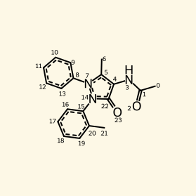 CC(=O)Nc1c(C)n(-c2ccccc2)n(-c2ccccc2C)c1=O